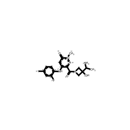 CC(N)C1(O)CN(C(=O)c2nn(C)c(=O)cc2Nc2ccc(I)cc2F)C1